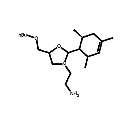 CCCCOCC1CN(CCN)C(C2C(C)C=C(C)C[C@@H]2C)O1